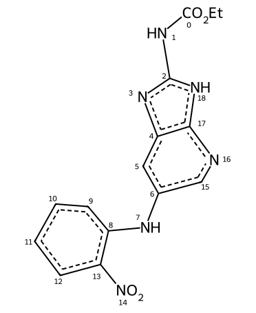 CCOC(=O)Nc1nc2cc(Nc3ccccc3[N+](=O)[O-])cnc2[nH]1